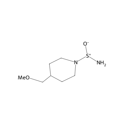 COCC1CCN([S+](N)[O-])CC1